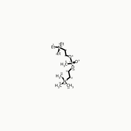 CC[N+](CC)(CC)CCOP(C)(=O)OCC[N+](C)(C)C